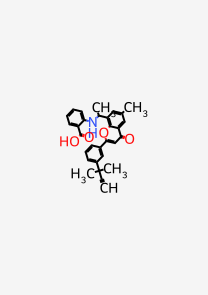 C#CC(C)(C)c1cccc(-c2cc(=O)c3cc(C)cc(C(C)Nc4ccccc4C(=O)O)c3o2)c1